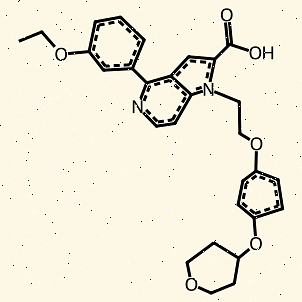 CCOc1cccc(-c2nccc3c2cc(C(=O)O)n3CCOc2ccc(OC3CCOCC3)cc2)c1